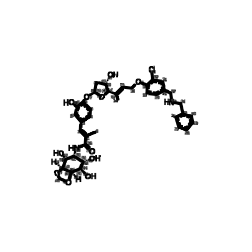 CC(=Cc1ccc(O[C@H]2C[C@H](O)[C@@H](C(C)=CCOc3ccc(CNCc4ccccc4)cc3Cl)O2)c(O)c1)C(=O)N[C@@H]1[C@H](O)[C@@H](O)[C@H]2OCO[C@H]2[C@@H]1O